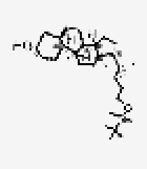 C[C@H](CCCO[Si](C)(C)C(C)(C)C)[C@H]1CC[C@H]2[C@@H]3CC=C4C[C@@H](O)CC[C@]4(C)[C@H]3CC[C@]12C